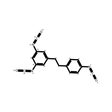 O=C=Nc1ccc(CCc2cc(N=C=O)cc(N=C=O)c2)cc1